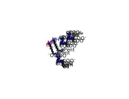 CCCCC/C=C\C/C=C\CCCCCCCC(N)=O.CCCCC/C=C\C/C=C\CCCCCCCC(N)=O.O=C([O-])CN(CCN(CC(=O)[O-])CC(=O)[O-])CCN(CC(=O)[O-])CC(=O)[O-].O=C([O-])CN(CCN(CC(=O)[O-])CC(=O)[O-])CCN(CC(=O)[O-])CC(=O)[O-].O=C([O-])CN(CCN(CC(=O)[O-])CC(=O)[O-])CCN(CC(=O)[O-])CC(=O)[O-].[Gd+3].[Gd+3].[Gd+3].[Gd+3].[Gd+3]